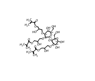 C=C(C)C(=O)OCC(O)CO[C@@H]1[C@@H](O)[C@H](O)O[C@H](CO)[C@H]1O[C@H]1O[C@H](CO)[C@@H](O)[C@H](OCC(O)COC(=O)C(=C)C)[C@H]1OCC(O)COC(=O)C(=C)C